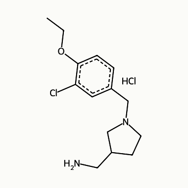 CCOc1ccc(CN2CCC(CN)C2)cc1Cl.Cl